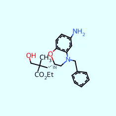 CCOC(=O)C(C)(CO)C[C@H]1CN(Cc2ccccc2)c2cc(N)ccc2O1